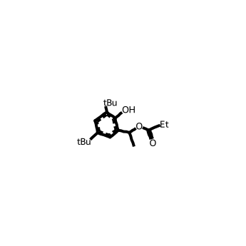 CCC(=O)OC(C)c1cc(C(C)(C)C)cc(C(C)(C)C)c1O